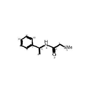 CNCC(=O)NC(C)c1ccccc1